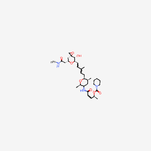 CCCNC(=O)C[C@@H]1C[C@@]2(CO2)[C@H](O)[C@@H](/C=C/C(C)=C/C[C@@H]2O[C@H](C)[C@H](NC(=O)/C=C\[C@H](C)OC(=O)N3CCCCC3)C[C@@H]2C)O1